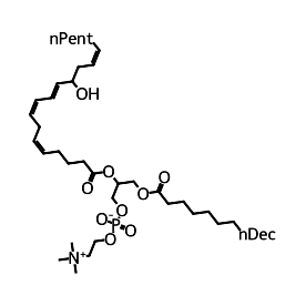 CCCCC/C=C\CC(O)/C=C/C=C\C/C=C\CCCC(=O)OC(COC(=O)CCCCCCCCCCCCCCCC)COP(=O)([O-])OCC[N+](C)(C)C